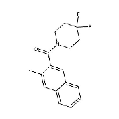 Cc1cc2ccccc2cc1C(=O)N1CCC(F)(F)CC1